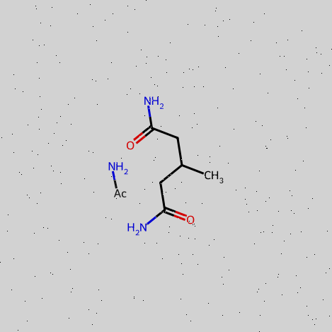 CC(CC(N)=O)CC(N)=O.CC(N)=O